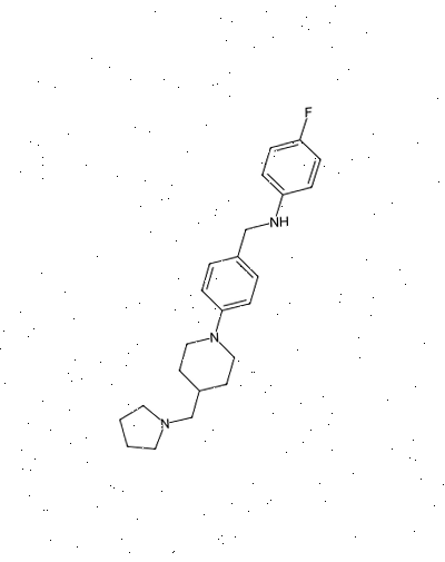 Fc1ccc(NCc2ccc(N3CCC(CN4CCCC4)CC3)cc2)cc1